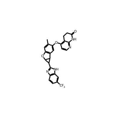 Cc1cc2c(cc1Oc1ccnc3c1CCC(=O)N3)C1C(O2)C1c1nc2ccc(C(F)(F)F)cc2[nH]1